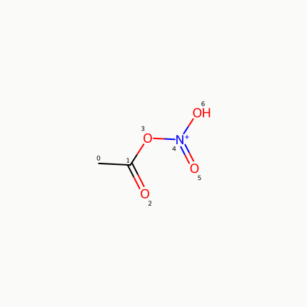 CC(=O)O[N+](=O)O